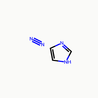 N#N.c1c[nH]cn1